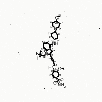 COc1cc(S(N)(=O)=O)ccc1NCC#Cc1cc2c(N[C@H]3CC[C@@H](N4CCC(OC)CC4)CC3)cccc2n1CC(F)(F)F